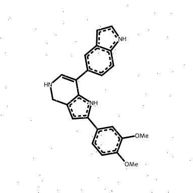 COc1ccc(-c2cc3c([nH]2)C(c2ccc4[nH]ccc4c2)=CNC3)cc1OC